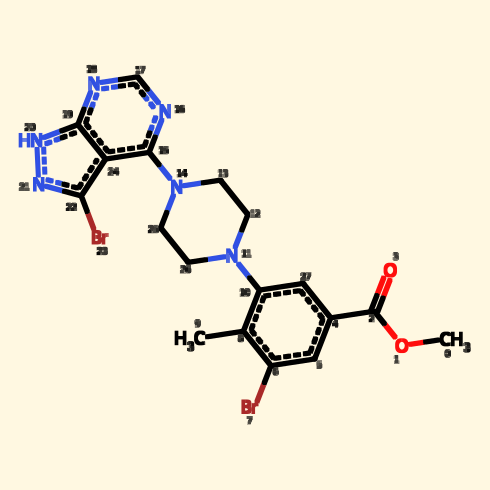 COC(=O)c1cc(Br)c(C)c(N2CCN(c3ncnc4[nH]nc(Br)c34)CC2)c1